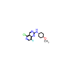 CO[C@H]1CC[C@H](Nc2ncc3c(Cl)ncc(F)c3n2)CC1